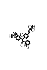 CC/C(=C(\c1ccc2[nH]ncc2c1)c1ccc(/C=C/C(=O)O)cc1C)c1ccccc1